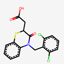 O=C(O)CC1Sc2ccccc2N(Cc2c(Cl)cccc2Cl)C1=O